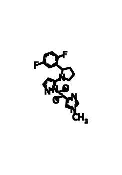 Cn1cnc(S(=O)(=O)n2nccc2N2CCCC2c2cc(F)ccc2F)c1